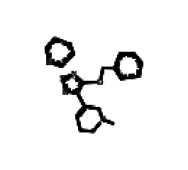 CN1CCC=C(c2nsnc2OCc2ccccc2)C1.c1ccncc1